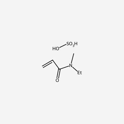 C=CC(=O)N(C)CC.O=S(=O)(O)O